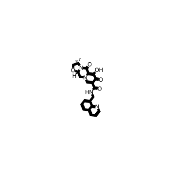 C[C@H]1CO[C@@H]2Cn3cc(C(=O)NCc4cccc5cccnc45)c(=O)c(O)c3C(=O)N12